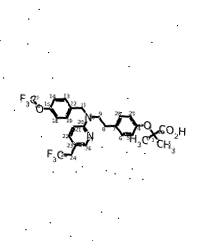 CC(C)(Oc1ccc(CCN(Cc2ccc(OC(F)(F)F)cc2)c2ccc(CC(F)(F)F)cn2)cc1)C(=O)O